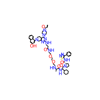 C=CC(=O)N1CCN(c2nc(NCCC(=O)NCCOCCOCCNC(C)C(=O)NC(C(=O)N3CCC[C@H]3C(=O)Nc3snnc3-c3ccccc3)C3CCCCC3)nc3c2CCN(c2cc(O)cc4ccccc24)C3)CC1